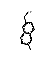 CC(C)Cc1ccc2cc(I)ccc2c1